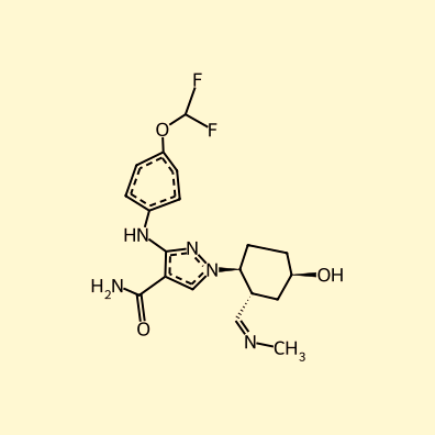 C/N=C\[C@H]1C[C@H](O)CC[C@@H]1n1cc(C(N)=O)c(Nc2ccc(OC(F)F)cc2)n1